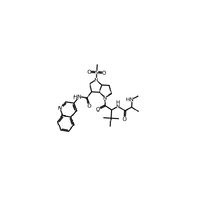 CNC(C)C(=O)NC(C(=O)N1CCC2C1C(C(=O)Nc1cnc3ccccc3c1)CN2S(C)(=O)=O)C(C)(C)C